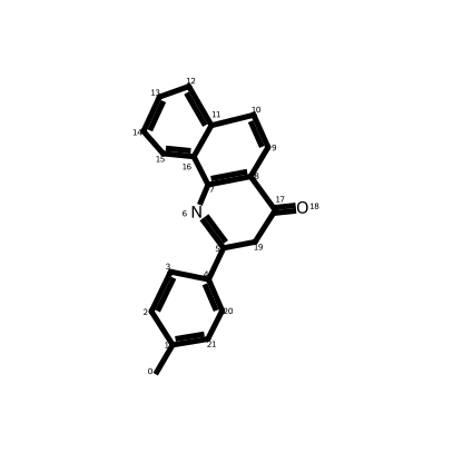 Cc1ccc(C2=Nc3c(ccc4ccccc34)C(=O)C2)cc1